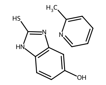 Cc1ccccn1.Oc1ccc2[nH]c(S)nc2c1